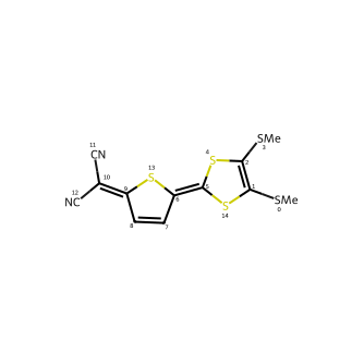 CSC1=C(SC)SC(=c2ccc(=C(C#N)C#N)s2)S1